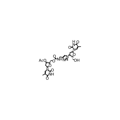 CC(=O)O[C@@H]1C[C@H](n2cc(C)c(=O)[nH]c2=O)O[C@@H]1COC(=O)NCc1cn([C@@H]2C[C@H](n3cc(C)c(=O)[nH]c3=O)O[C@@H]2CO)nn1